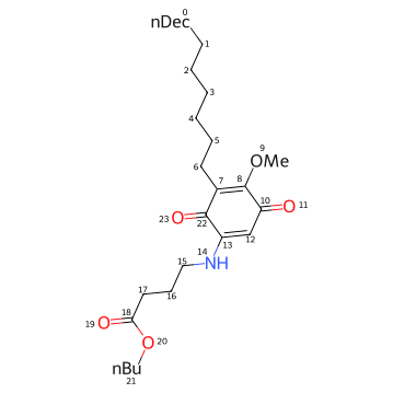 CCCCCCCCCCCCCCCCC1=C(OC)C(=O)C=C(NCCCC(=O)OCCCC)C1=O